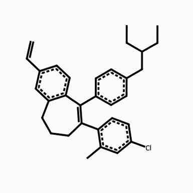 C=Cc1ccc2c(c1)CCCC(c1ccc(Cl)cc1C)=C2c1ccc(CC(CC)CC)cc1